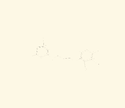 CCCc1c(OCCCOc2cc(O)cc(C(=O)O)c2)ccc(C(C)=O)c1O